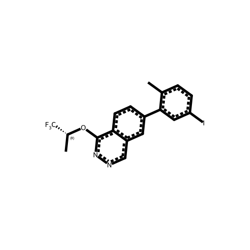 Cc1ccc(I)cc1-c1ccc2c(O[C@H](C)C(F)(F)F)nncc2c1